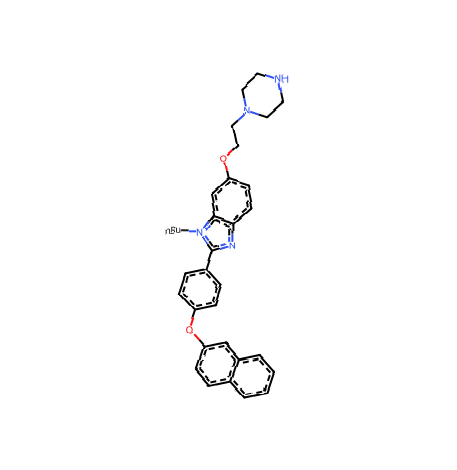 CCCCn1c(-c2ccc(Oc3ccc4ccccc4c3)cc2)nc2ccc(OCCN3CCNCC3)cc21